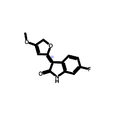 COC1=C/C(=C2\C(=O)Nc3cc(F)ccc32)OC1